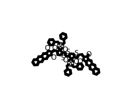 O=C1C(=CC2=Cc3sc4c5c(sc4c3C2(C(=O)OCc2ccccc2)C(=O)OCc2ccccc2)-c2sc(C=C3C(=O)c4cc6cc7ccccc7cc6cc4C3=O)cc2C5(C(=O)OCc2ccccc2)C(=O)OCc2ccccc2)C(=O)c2cc3cc4ccccc4cc3cc21